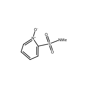 CNS(=O)(=O)c1cccc[n+]1[O-]